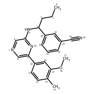 CCCC(Nc1cncc(-c2ccc(C)c(OC)c2)n1)c1cccc(C#N)c1